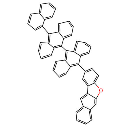 c1ccc2cc3c(cc2c1)oc1ccc(-c2c4ccccc4c(-c4c5ccccc5c(-c5cccc6ccccc56)c5ccccc45)c4ccccc24)cc13